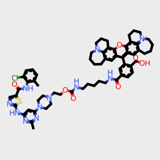 Cc1nc(Nc2ncc(C(=O)Nc3c(C)cccc3Cl)s2)cc(N2CCN(CCOC(=O)NCCCCCNC(=O)c3ccc(C(=O)O)c(C4=c5cc6c7c(c5Oc5c4cc4c8c5CCCN8CCCC4)CCC[N+]=7CCCC6)c3)CC2)n1